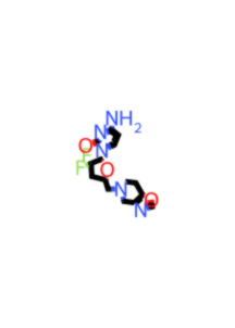 Nc1ccn([C@@H]2OC(CN3CCc4ocnc4C3)CC2(F)F)c(=O)n1